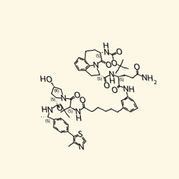 Cc1ncsc1-c1ccc([C@H](C)NC(=O)[C@@H]2C[C@@H](O)CN2C(=O)[C@@H](NC(=O)CCCCCc2cccc(NC(=O)[C@H](CCC(N)=O)NC(=O)[C@@H]3Cc4cccc5c4N3C(=O)[C@@H](NC(=O)OC(C)(C)C)CC5)c2)C(C)(C)C)cc1